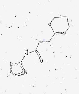 O=C(/C=C/C1=NCCCO1)Nc1nccs1